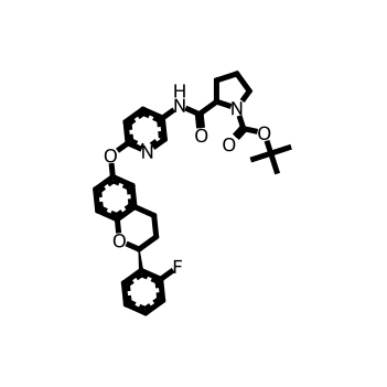 CC(C)(C)OC(=O)N1CCCC1C(=O)Nc1ccc(Oc2ccc3c(c2)CC[C@@H](c2ccccc2F)O3)nc1